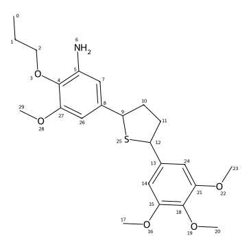 CCCOc1c(N)cc(C2CCC(c3cc(OC)c(OC)c(OC)c3)S2)cc1OC